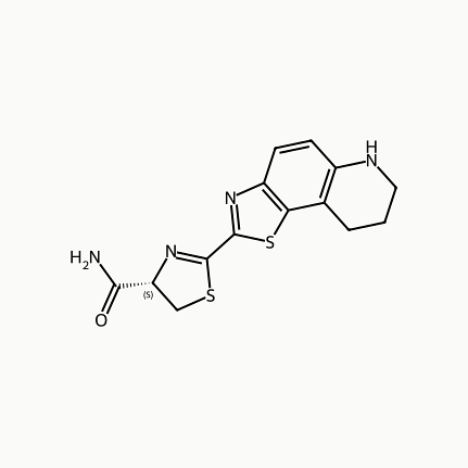 NC(=O)[C@H]1CSC(c2nc3ccc4c(c3s2)CCCN4)=N1